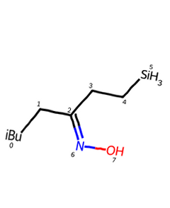 CCC(C)CC(CC[SiH3])=NO